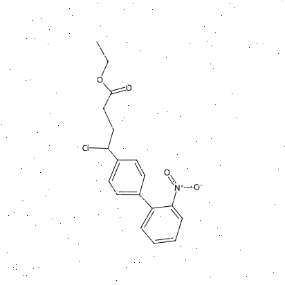 CCOC(=O)CCC(Cl)c1ccc(-c2ccccc2[N+](=O)[O-])cc1